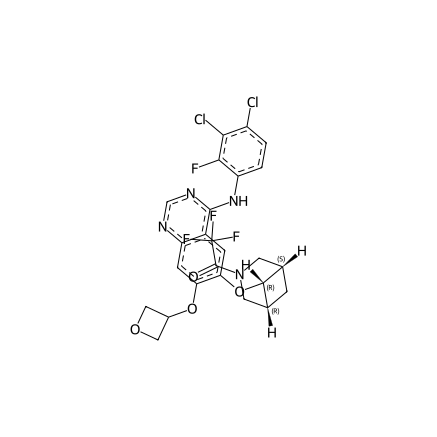 O=C(N1C[C@H]2C[C@@H](C1)[C@H]2Oc1cc2c(Nc3ccc(Cl)c(Cl)c3F)ncnc2cc1OC1COC1)C(F)(F)F